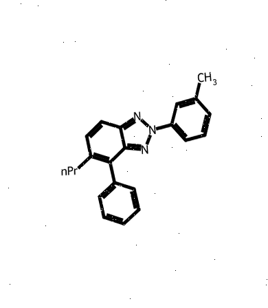 CCCc1ccc2nn(-c3cccc(C)c3)nc2c1-c1ccccc1